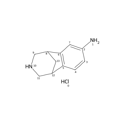 Cl.Nc1ccc2c(c1)C1CNCC2C1